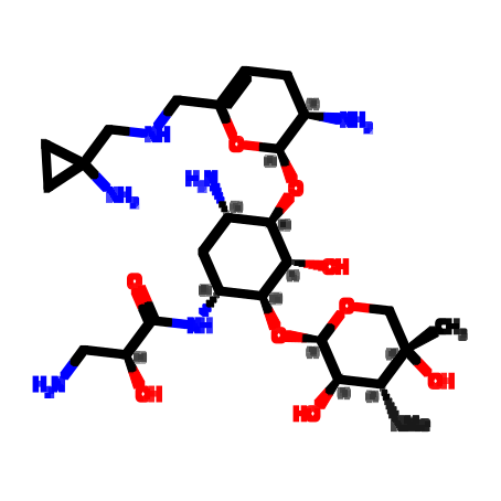 CN[C@@H]1[C@@H](O)[C@@H](O[C@@H]2[C@@H](O)[C@H](O[C@H]3OC(CNCC4(N)CC4)=CC[C@H]3N)[C@@H](N)C[C@H]2NC(=O)[C@@H](O)CN)OC[C@]1(C)O